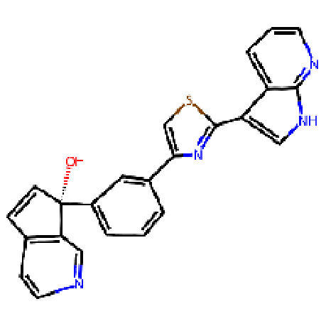 O[C@@]1(c2cccc(-c3csc(-c4c[nH]c5ncccc45)n3)c2)C=Cc2ccncc21